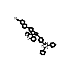 N#Cc1ccc2cc(-c3ccc4c(c3)C3(c5ccccc5Sc5ccccc53)c3cc(-c5ccc(-c6nc(-c7ccccc7)nc(-c7ccccc7)n6)cc5)ccc3-4)ccc2c1